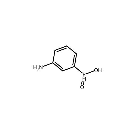 Nc1cccc([PH](=O)O)c1